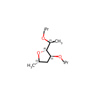 CC(C)O[C@@H](C)[C@H]1O[C@@H](C)C[C@@H]1OC(C)C